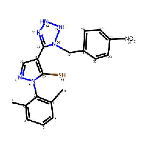 Cc1cccc(C)c1-n1ncc(C2=NNNN2Cc2ccc([N+](=O)[O-])cc2)c1S